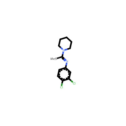 CS/C(=N\c1ccc(Cl)c(Cl)c1)N1CCCCC1